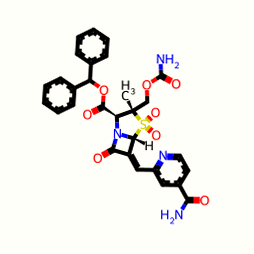 C[C@]1(COC(N)=O)[C@H](C(=O)OC(c2ccccc2)c2ccccc2)N2C(=O)/C(=C/c3cc(C(N)=O)ccn3)[C@H]2S1(=O)=O